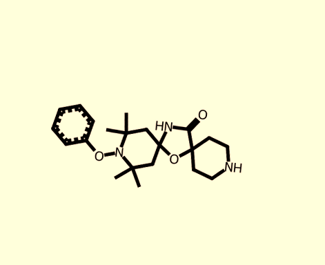 CC1(C)CC2(CC(C)(C)N1Oc1ccccc1)NC(=O)C1(CCNCC1)O2